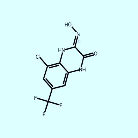 O=c1[nH]c2cc(C(F)(F)F)cc(Cl)c2[nH]/c1=N\O